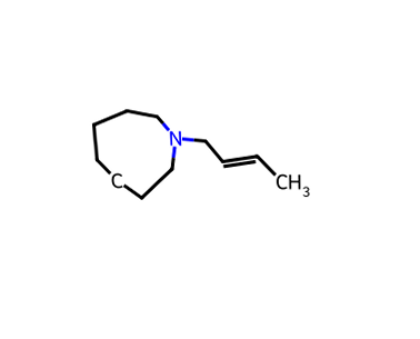 CC=CCN1CCCCCCC1